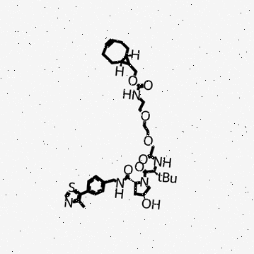 Cc1ncsc1-c1ccc(CNC(=O)[C@@H]2C[C@@H](O)CN2C(=O)[C@@H](NC(=O)COCCOCCNC(=O)OCC2[C@H]3CCC#CCC[C@@H]23)C(C)(C)C)cc1